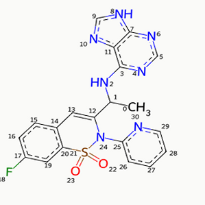 CC(Nc1ncnc2[nH]cnc12)C1=Cc2ccc(F)cc2S(=O)(=O)N1c1ccccn1